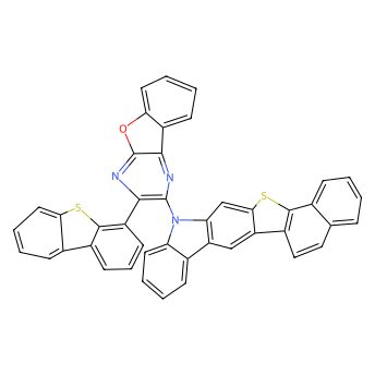 c1ccc2c(c1)ccc1c3cc4c5ccccc5n(-c5nc6c(nc5-c5cccc7c5sc5ccccc57)oc5ccccc56)c4cc3sc21